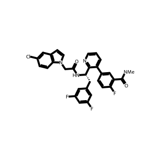 CNC(=O)c1cc(-c2cccnc2[C@H](Cc2cc(F)cc(F)c2)NC(=O)Cn2ccc3cc(Cl)ccc32)ccc1F